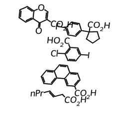 CCCC=CCC(=O)O.O=C(O)C1(c2ccc(F)cc2)CCCC1.O=C(O)c1cc(I)ccc1Cl.O=C(O)c1ccc2ccc3ccccc3c2c1.O=C(O)c1coc2ccccc2c1=O